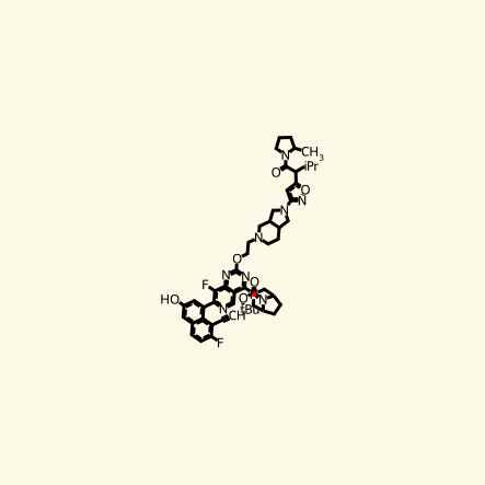 C#Cc1c(F)ccc2cc(O)cc(-c3ncc4c(N5CC6CCC(C5)N6C(=O)OC(C)(C)C)nc(OCCN5CCC6CN(c7cc(C(C(=O)N8CCCC8C)C(C)C)on7)CC6C5)nc4c3F)c12